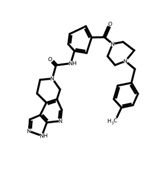 Cc1ccc(CN2CCN(C(=O)c3cccc(NC(=O)N4CCc5c(cnc6[nH]ncc56)C4)c3)CC2)cc1